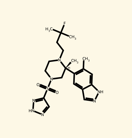 Cc1cc2[nH]ncc2cc1[C@]1(C)CN(S(=O)(=O)c2cn[nH]n2)CCN1CCC(C)(C)F